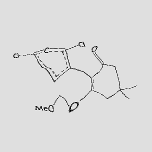 COCOC1=C(c2ccc(Cl)cc2Cl)C(=O)CC(C)(C)C1